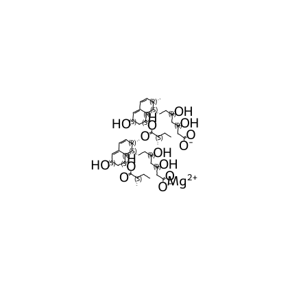 CC[C@H](C)C(=O)O[C@H]1C[C@H](O)C=C2C=C[C@H](C)[C@H](CC[C@@H](O)C[C@@H](O)CC(=O)[O-])[C@H]21.CC[C@H](C)C(=O)O[C@H]1C[C@H](O)C=C2C=C[C@H](C)[C@H](CC[C@@H](O)C[C@@H](O)CC(=O)[O-])[C@H]21.[Mg+2]